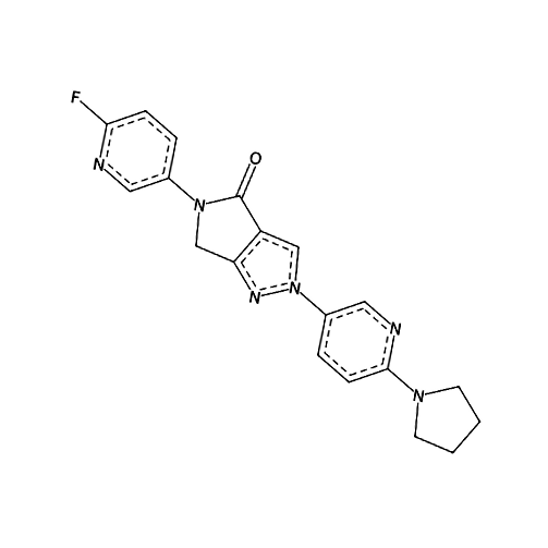 O=C1c2cn(-c3ccc(N4CCCC4)nc3)nc2CN1c1ccc(F)nc1